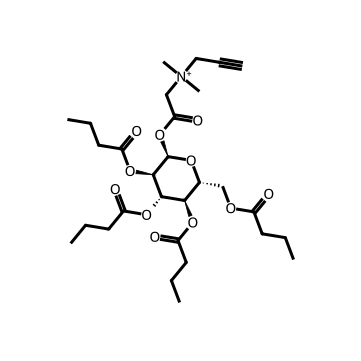 C#CC[N+](C)(C)CC(=O)O[C@H]1O[C@H](COC(=O)CCC)[C@@H](OC(=O)CCC)[C@H](OC(=O)CCC)[C@H]1OC(=O)CCC